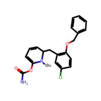 CC(C)(C)N1C(OC(N)=O)=CC=CC1Cc1cc(Cl)ccc1OCc1ccccc1